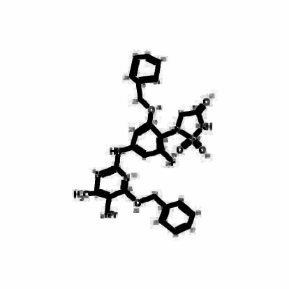 CCCc1c(C)nc(Nc2cc(F)c(N3CC(=O)NS3(=O)=O)c(OCc3ccccc3)c2)nc1OCc1ccccc1